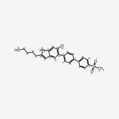 CS(=O)(=O)c1ccc(-c2ccc(-c3nc4cc(CCCCO)[nH]c4cc3Cl)cc2)cc1